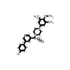 COc1c(C)cc(N2CCN(Cc3cncc(-c4ccc(F)cc4)c3)CC2)cc1C.Cl.Cl.Cl